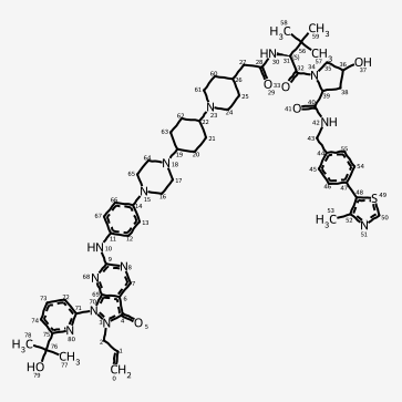 C=CCn1c(=O)c2cnc(Nc3ccc(N4CCN(C5CCC(N6CCC(CC(=O)N[C@H](C(=O)N7CC(O)CC7C(=O)NCc7ccc(-c8scnc8C)cc7)C(C)(C)C)CC6)CC5)CC4)cc3)nc2n1-c1cccc(C(C)(C)O)n1